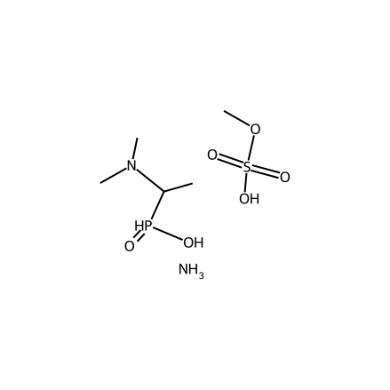 CC(N(C)C)[PH](=O)O.COS(=O)(=O)O.N